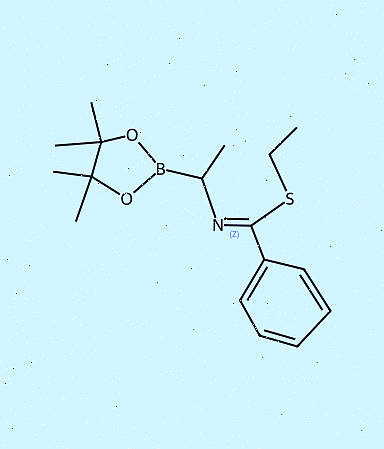 CCS/C(=N\C(C)B1OC(C)(C)C(C)(C)O1)c1ccccc1